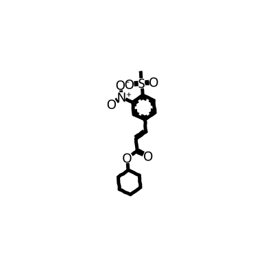 CS(=O)(=O)c1ccc(/C=C/C(=O)OC2CCCCC2)cc1[N+](=O)[O-]